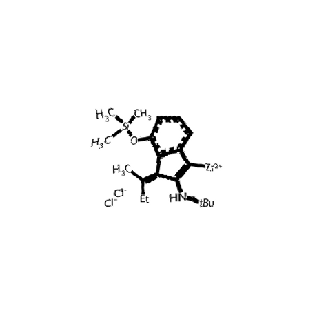 CCC(C)=C1C(NC(C)(C)C)=[C]([Zr+2])c2cccc(O[Si](C)(C)C)c21.[Cl-].[Cl-]